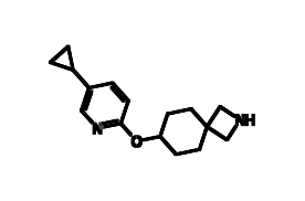 c1cc(OC2CCC3(CC2)CNC3)ncc1C1CC1